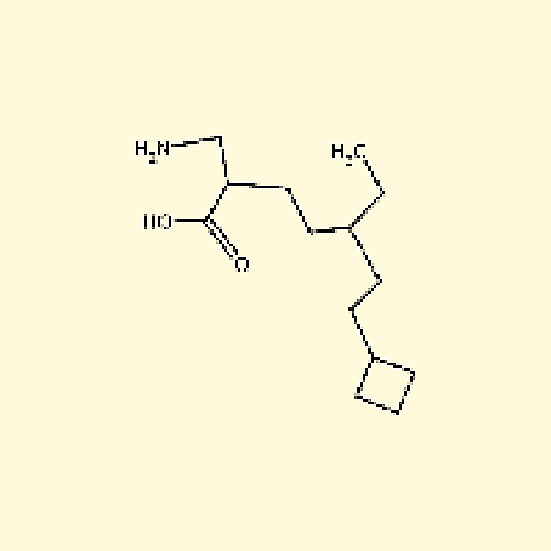 CCC(CCC1CCC1)CCC(CN)C(=O)O